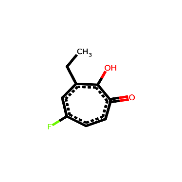 CCc1cc(F)ccc(=O)c1O